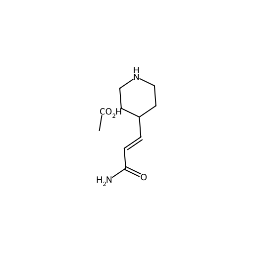 CC(=O)O.NC(=O)C=CC1CCNCC1